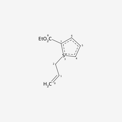 C=CC[s+]1cccc1C(=O)OCC